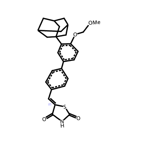 COCOc1ccc(-c2ccc(/C=C3\SC(=O)NC3=O)cc2)cc1C12CC3CC(CC(C3)C1)C2